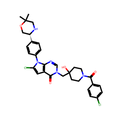 CC1(C)CN[C@H](c2ccc(-n3c(Cl)cc4c(=O)n(CC5(O)CCN(C(=O)c6ccc(Cl)cc6)CC5)cnc43)cc2)CO1